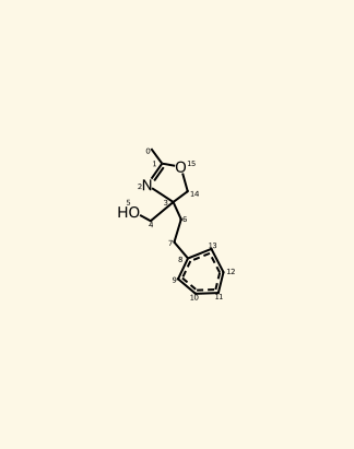 CC1=NC(CO)(CCc2ccccc2)CO1